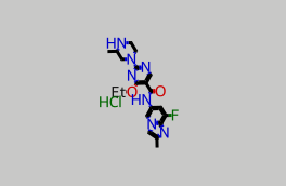 CCOc1nc(N2CCNC(C)C2)ncc1C(=O)Nc1cc(F)c2nc(C)cn2c1.Cl